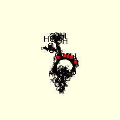 CCCC(=O)OCCN(CCCCC(P(=O)(O)O)P(=O)(O)O)CC(=O)O[C@@H]1[C@@H](C)[C@@H](O)[C@@H](C)[C@H](C)[C@H](C)[C@@H](C)/C=C/O[C@@]2(C)Oc3c(C)c(O)c4c(c3C2=O)C2=NC3(CCN(CC(C)C)CC3)N(C(=O)OC)C2=C(NC(=O)/C(C)=C\C=C\[C@@H]1C)C4=O